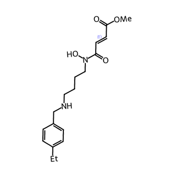 CCc1ccc(CNCCCCN(O)C(=O)/C=C/C(=O)OC)cc1